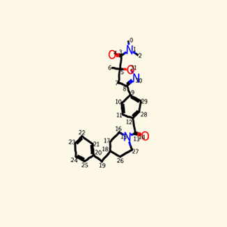 CN(C)C(=O)C1(C)CC(c2ccc(C(=O)N3CCC(Cc4ccccc4)CC3)cc2)=NO1